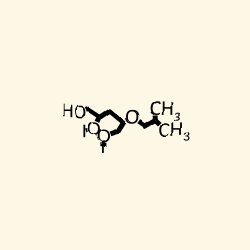 CC(C)COC(COI)CC(CO)OI